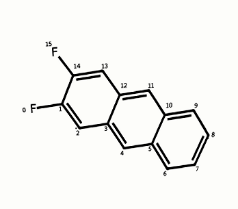 Fc1[c]c2cc3cc[c]cc3cc2cc1F